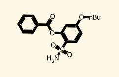 CCCCOc1ccc(S(N)(=O)=O)c(OC(=O)c2ccccc2)c1